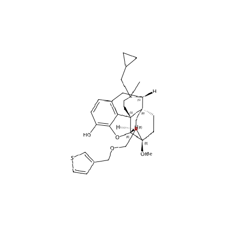 CO[C@]12CC[C@@]3(C[C@@H]1COCc1ccsc1)[C@H]1Cc4ccc(O)c5c4[C@@]3(CCC1(C)CC1CC1)[C@H]2O5